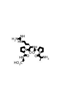 C[C@H](N)C(=O)N1CCC[C@H]1C(=O)N[C@@H](CCCNC(=N)N)C(=O)N1CCC[C@H]1C(=O)NCC(=O)O